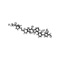 COC(=O)C12CCC(CCN3CCc4c(nc(C(=O)N5CCc6c(-c7cccc(-c8ccc(C=O)c(OC)n8)c7Cl)cccc65)n4C)C3)(CC1)C2